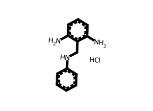 Cl.Nc1cccc(N)c1CNc1ccccc1